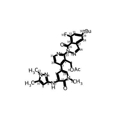 CC(=O)OCc1c(-c2cc(Nc3cc(C)n(C)n3)c(=O)n(C)c2)ccnc1-n1ncc2cc(C(C)(C)C)cc(F)c2c1=O